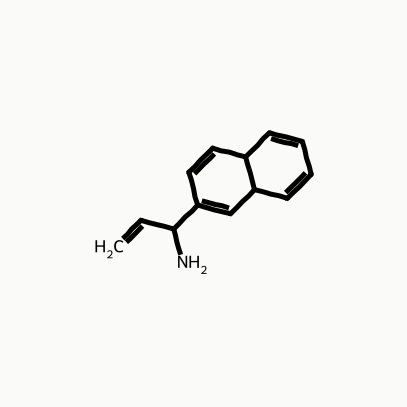 C=CC(N)C1=CC2C=CC=CC2C=C1